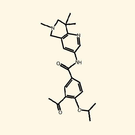 CC(=O)c1cc(C(=O)Nc2cnc3c(c2)CN(C)CC3(C)C)ccc1OC(C)C